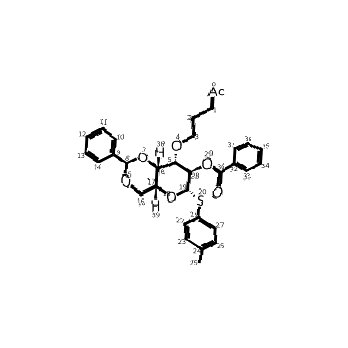 CC(=O)CCCO[C@H]1[C@H]2OC(c3ccccc3)OC[C@H]2O[C@@H](Sc2ccc(C)cc2)[C@@H]1OC(=O)c1ccccc1